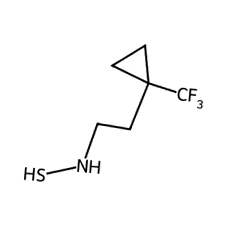 FC(F)(F)C1(CCNS)CC1